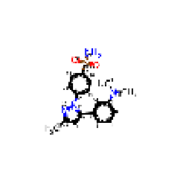 CN(C)c1cccc(-c2cc(C(F)(F)F)nn2-c2ccc(S(N)(=O)=O)cc2)c1